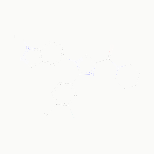 Cn1ncc2cc(-n3cc(C(=O)N4CCCCC4)nc3-c3ccc(C#N)c(F)c3)ccc21